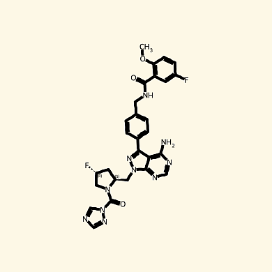 COc1ccc(F)cc1C(=O)NCc1ccc(-c2nn(C[C@@H]3C[C@@H](F)CN3C(=O)n3cncn3)c3ncnc(N)c23)cc1